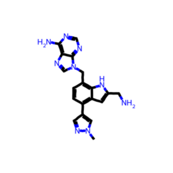 Cn1cc(-c2ccc(Cn3cnc4c(N)ncnc43)c3[nH]c(CN)cc23)cn1